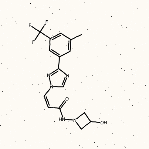 Cc1cc(-c2ncn(/C=C\C(=O)NN3CC(O)C3)n2)cc(C(F)(F)F)c1